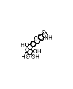 C=C1O[C@@H](c2cc(Cc3ccc4c(c3)NCCO4)c(Cl)cc2O)[C@H](O)[C@@H](O)[C@@H]1O